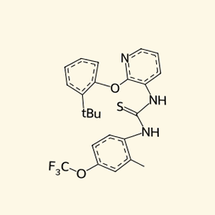 Cc1cc(OC(F)(F)F)ccc1NC(=S)Nc1cccnc1Oc1ccccc1C(C)(C)C